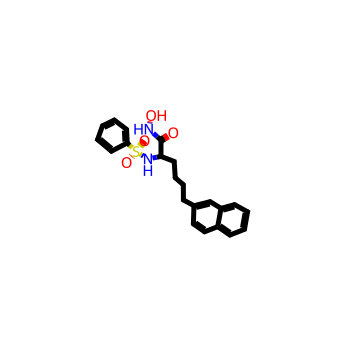 O=C(NO)C(CCCCc1ccc2ccccc2c1)NS(=O)(=O)c1ccccc1